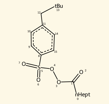 CCCCCCCC(=O)OOS(=O)(=O)c1ccc(CC(C)(C)C)cc1